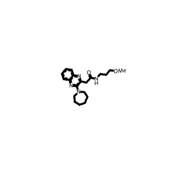 COCCCNC(=O)Cc1nc2ccccc2nc1N1CCCCCC1